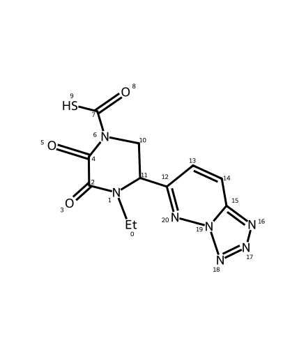 CCN1C(=O)C(=O)N(C(=O)S)CC1c1ccc2nnnn2n1